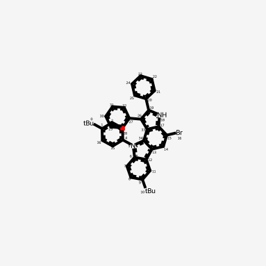 CC(C)(C)c1ccc(-n2c3ccc(C(C)(C)C)cc3c3cc(Br)c4[nH]c(-c5ccccc5)c(-c5ccccc5)c4c32)cc1